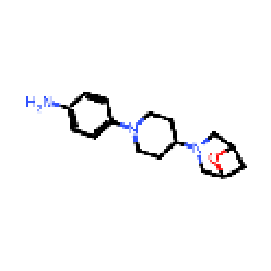 Nc1ccc(N2CCC(N3CC4CC(C3)O4)CC2)cc1